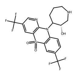 O=S1(=O)c2cc(C(F)(F)F)ccc2N(C2CCCNC[C@@H]2O)c2ncc(C(F)(F)F)cc21